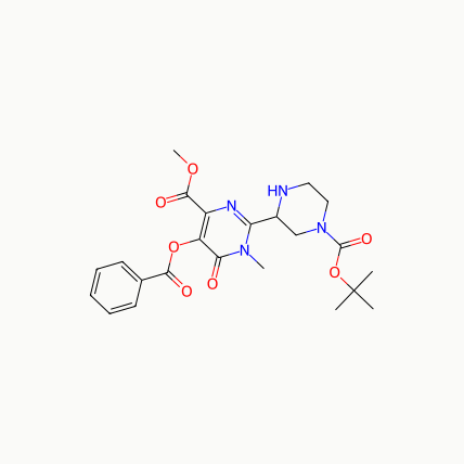 COC(=O)c1nc(C2CN(C(=O)OC(C)(C)C)CCN2)n(C)c(=O)c1OC(=O)c1ccccc1